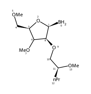 B[C@@H]1O[C@H](COC)C(OC)[C@@H]1OC[C@H](CCC)OC